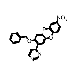 O=[N+]([O-])c1ccc(Oc2ccc(OCc3ccccc3)c(-c3ccncn3)c2)c(F)c1